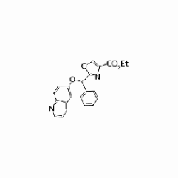 CCOC(=O)c1coc(C(Oc2ccc3ncccc3c2)c2ccccc2)n1